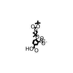 CC(C)(C)OC(=O)N1CC(C)(Oc2ccc(C(=O)O)cc2[N+](=O)[O-])C1